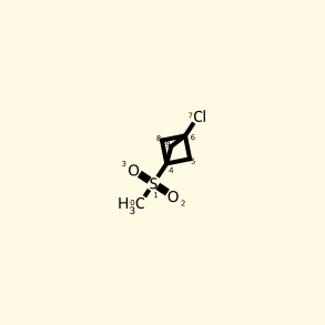 CS(=O)(=O)C12CC(Cl)(C1)C2